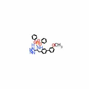 COc1cccc(-c2ccc(CC(NCP(=O)(Oc3ccccc3)Oc3ccccc3)c3nnn[nH]3)cc2)c1